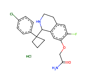 Cl.NC(=O)COc1cc2c(cc1F)CCNC2C1(c2ccc(Cl)cc2)CCC1